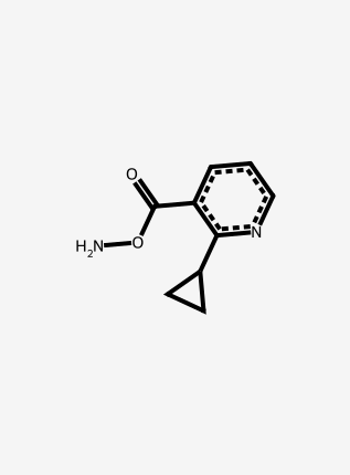 NOC(=O)c1cccnc1C1CC1